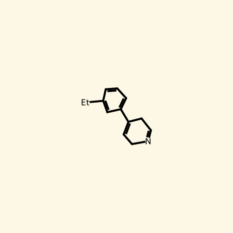 CCc1cccc(C2=CCN=CC2)c1